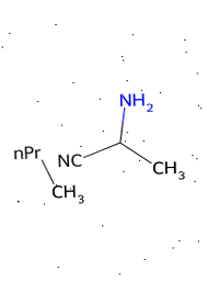 CC(N)C#N.CCCC